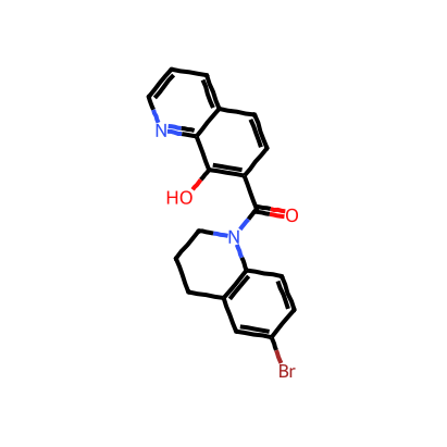 O=C(c1ccc2cccnc2c1O)N1CCCc2cc(Br)ccc21